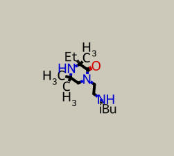 CCC(C)NCCN1CC(C)(C)NC(C)(CC)C1=O